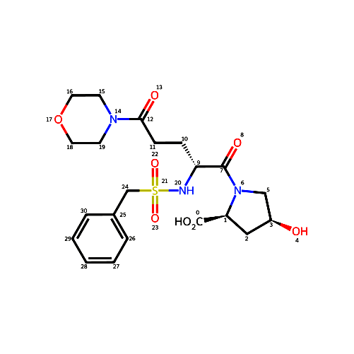 O=C(O)[C@@H]1C[C@H](O)CN1C(=O)[C@@H](CCC(=O)N1CCOCC1)NS(=O)(=O)Cc1ccccc1